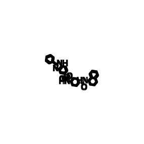 O=C(NC1CCCc2ccccc21)[C@H]1CC[C@H](NS(=O)(=O)c2ccc3[nH]c(-c4ccccc4)nc3c2)CC1